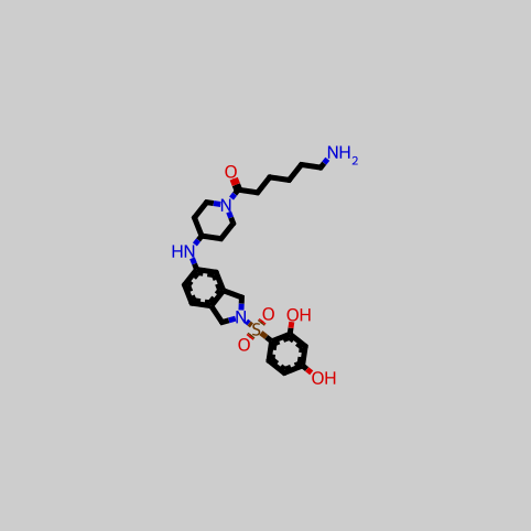 NCCCCCC(=O)N1CCC(Nc2ccc3c(c2)CN(S(=O)(=O)c2ccc(O)cc2O)C3)CC1